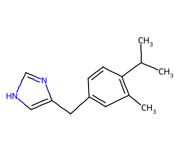 Cc1cc([CH]c2c[nH]cn2)ccc1C(C)C